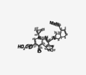 CNC1C=CCC2CN(c3nc4c(cc3F)c(=O)c(OC(=O)O)cn4C3CC3)CC21.Cl